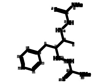 CNC(=S)NNC(C)C(Cc1ccncc1)NNC(=S)NC